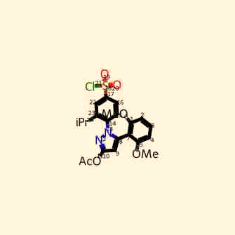 COc1cccc(OC)c1-c1cc(OC(C)=O)nn1-c1ccc(S(=O)(=O)Cl)cc1C(C)C